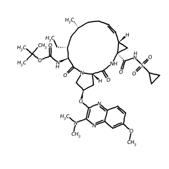 CC[C@@H]1C[C@H](C)CC/C=C\[C@@H]2C[C@@]2(C(=O)NS(=O)(=O)C2CC2)NC(=O)[C@@H]2C[C@@H](Oc3nc4ccc(OC)cc4nc3N(C)C)CN2C(=O)[C@H]1NC(=O)OC(C)(C)C